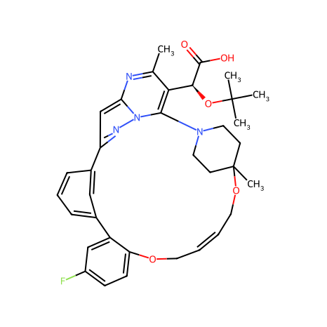 Cc1nc2cc3nn2c(c1[C@H](OC(C)(C)C)C(=O)O)N1CCC(C)(CC1)OCC=CCOc1ccc(F)cc1-c1cccc-3c1